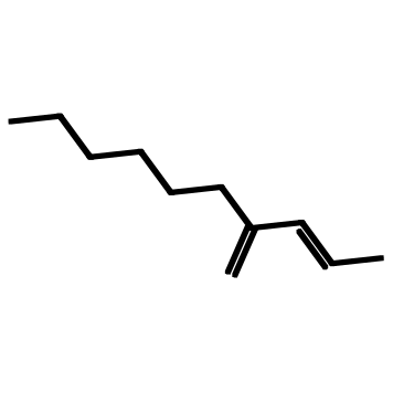 C=C(/C=C/C)CCCCCC